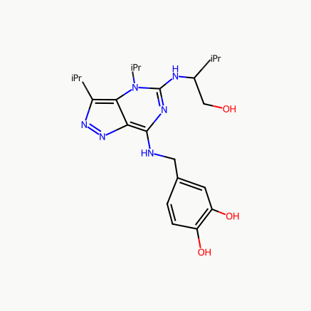 CC(C)c1nnc2c(NCc3ccc(O)c(O)c3)nc(NC(CO)C(C)C)n(C(C)C)c1-2